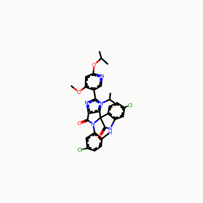 COc1cc(OC(C)C)ncc1-c1nc2c(n1C(C)C)C1(C(=O)Nc3cc(Cl)ccc31)N(c1cc(Cl)ccc1C)C2=O